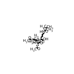 CC(=O)SC[C@H](NC(=O)C(C)(C)CSC(C)=O)C(=O)N[C@@H](CCCCNC(=O)OC(C)(C)C)C(=O)O